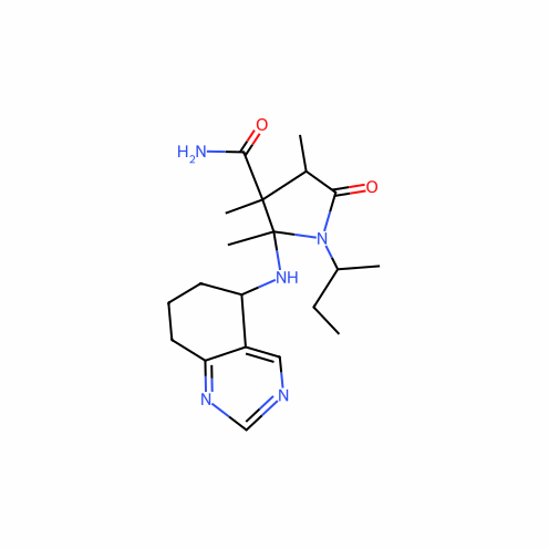 CCC(C)N1C(=O)C(C)C(C)(C(N)=O)C1(C)NC1CCCc2ncncc21